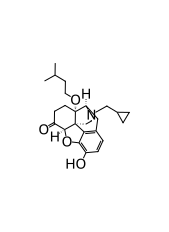 CC(C)CCO[C@@]12CCC(=O)[C@@H]3Oc4c(O)ccc5c4[C@@]31CCN(CC1CC1)[C@@H]2C5